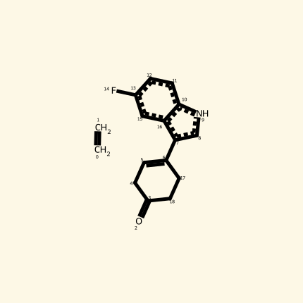 C=C.O=C1CC=C(c2c[nH]c3ccc(F)cc23)CC1